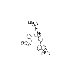 CCOC(=O)Cc1ccccc1OCc1c2cc(-c3cccc4c(N)nccc34)ccc2nn1C1CN(C(=O)OC(C)(C)C)C1